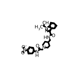 CC(C)n1nc(C(=O)NCC2CCN(CC(=O)Nc3ccc([N+](=O)[O-])cc3)CC2)c2ccccc21